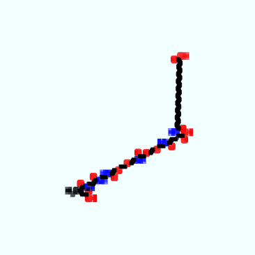 CC(CC(=O)O)C(=O)NCCC(=O)NCCNC(=O)COCCOCCNC(=O)COCCOCCNC(=O)CC[C@H](NC(=O)CCCCCCCCCCCCCCCCCCC(=O)O)C(=O)O